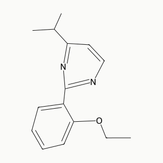 CCOc1ccccc1-c1nccc(C(C)C)n1